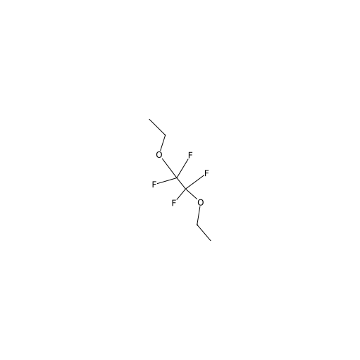 CCOC(F)(F)C(F)(F)OCC